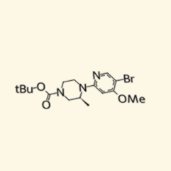 COc1cc(N2CCN(C(=O)OC(C)(C)C)C[C@@H]2C)ncc1Br